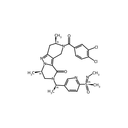 CN=[S@](C)(=O)c1ccc([C@@H](C)N2C[C@@H](C)n3nc4c(c3C2=O)CN(C(=O)c2ccc(Cl)c(Cl)c2)[C@H](C)C4)cn1